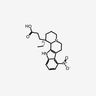 CC[C@]1(CCC(=O)O)CCCN2CCc3c([nH]c4cccc([N+](=O)[O-])c34)C21